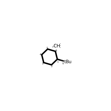 CC(C)(C)C1CCCCC1.[CH]